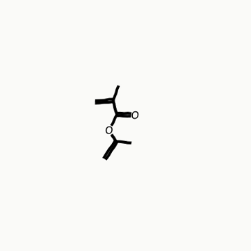 C=C(C)OC(=O)C(=C)C